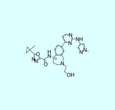 Cn1cc(Nc2nccc(-c3ccc4c(c3)CN(CCO)CC[C@@H]4NC(=O)c3nnc(C4(C)CC4)o3)n2)cn1